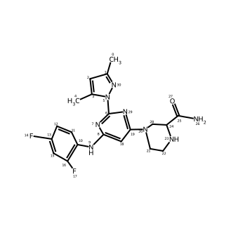 Cc1cc(C)n(-c2nc(Nc3ccc(F)cc3F)cc(N3CCNC(C(N)=O)C3)n2)n1